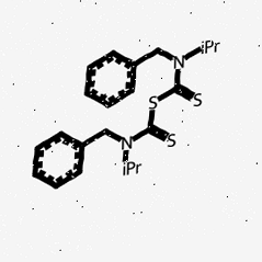 CC(C)N(Cc1ccccc1)C(=S)SC(=S)N(Cc1ccccc1)C(C)C